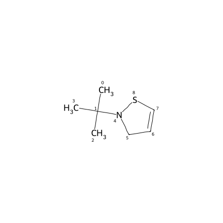 CC(C)(C)N1CC=CS1